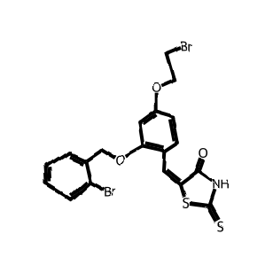 O=C1NC(=S)S/C1=C/c1ccc(OCCBr)cc1OCc1ccccc1Br